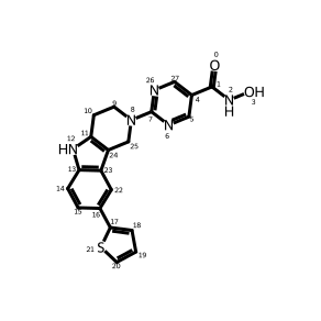 O=C(NO)c1cnc(N2CCc3[nH]c4ccc(-c5cccs5)cc4c3C2)nc1